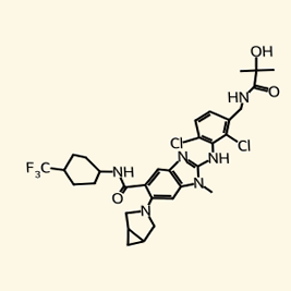 Cn1c(Nc2c(Cl)ccc(CNC(=O)C(C)(C)O)c2Cl)nc2cc(C(=O)NC3CCC(C(F)(F)F)CC3)c(N3CC4CC4C3)cc21